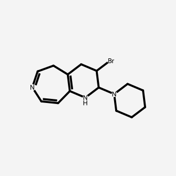 BrC1CC2=C(C=CN=CC2)NC1N1CCCCC1